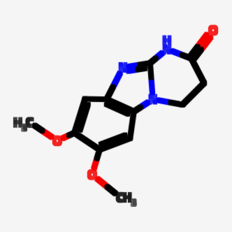 COc1cc2nc3n(c2cc1OC)CCC(=O)N3